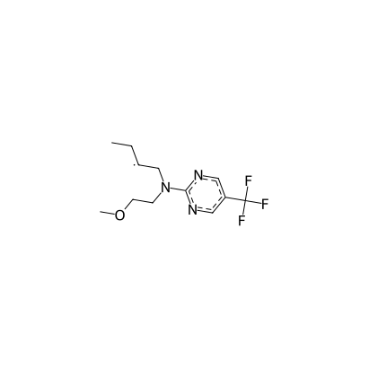 CC[CH]CN(CCOC)c1ncc(C(F)(F)F)cn1